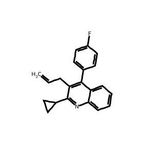 C=CCc1c(C2CC2)nc2ccccc2c1-c1ccc(F)cc1